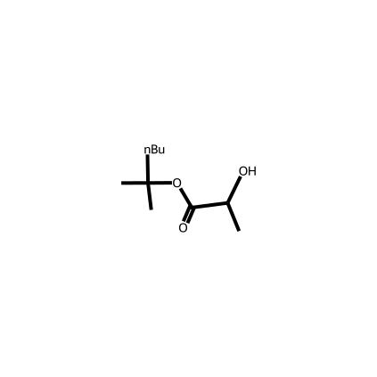 CCCCC(C)(C)OC(=O)C(C)O